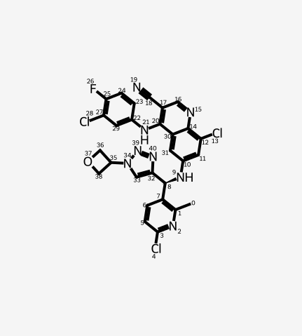 Cc1nc(Cl)ccc1[C@H](Nc1cc(Cl)c2ncc(C#N)c(Nc3ccc(F)c(Cl)c3)c2c1)c1cn(C2COC2)nn1